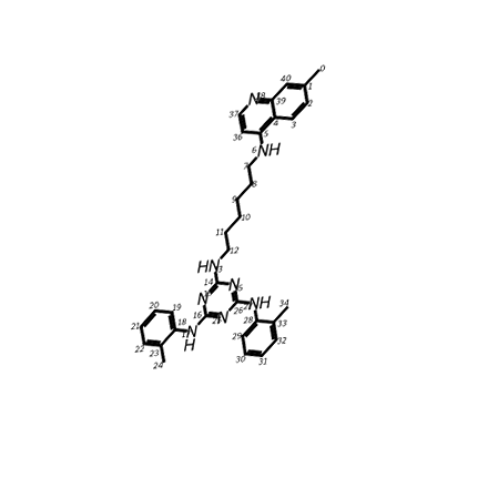 Cc1ccc2c(NCCCCCCNc3nc(Nc4ccccc4C)nc(Nc4ccccc4C)n3)ccnc2c1